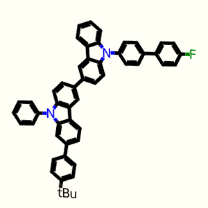 CC(C)(C)c1ccc(-c2ccc3c4cc(-c5ccc6c(c5)c5ccccc5n6-c5ccc(-c6ccc(F)cc6)cc5)ccc4n(-c4ccccc4)c3c2)cc1